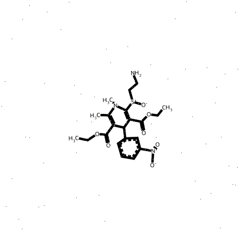 CCOC(=O)C1=C(C)N(C)C([S+]([O-])CCN)=C(C(=O)OCC)C1c1cccc([N+](=O)[O-])c1